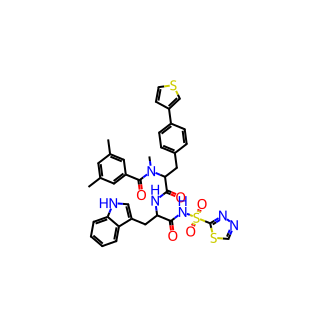 Cc1cc(C)cc(C(=O)N(C)C(Cc2ccc(-c3ccsc3)cc2)C(=O)NC(Cc2c[nH]c3ccccc23)C(=O)NS(=O)(=O)c2nncs2)c1